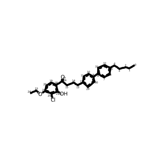 CCCCCc1ccc(-c2ccc(CCCC(=O)c3ccc(OCC)c(Cl)c3O)cc2)cc1